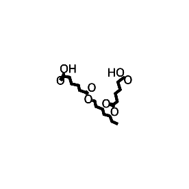 CCC(CCCCOC(=O)CCCCC(=O)O)OC(=O)CCCCC(=O)O